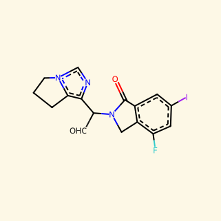 O=CC(c1ncn2c1CCC2)N1Cc2c(F)cc(I)cc2C1=O